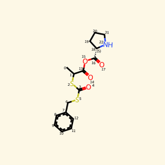 CC(SC(=O)SCc1ccccc1)C(=O)OC(=O)[C@@H]1CCCN1